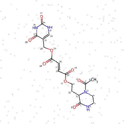 CC(=O)N1CCNC(=O)C1CCOC(=O)/C=C/C(=O)OCc1c[nH]c(=O)[nH]c1=O